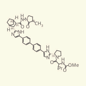 COC(=O)NC(C(=O)N1CCC[C@H]1c1ncc(-c2ccc(-c3ccc(-c4cnc([C@@H]5[C@H]6CC[C@H](C6)[C@H]5C(=O)NN5CC[C@@H](C)C5=O)[nH]4)cc3)cc2)[nH]1)C(C)C